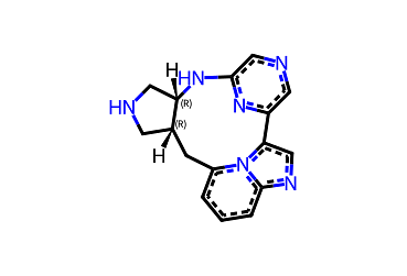 c1cc2n3c(cnc3c1)-c1cncc(n1)N[C@H]1CNC[C@H]1C2